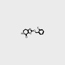 O=C1NCCc2nc(OCc3ccccc3F)sc21